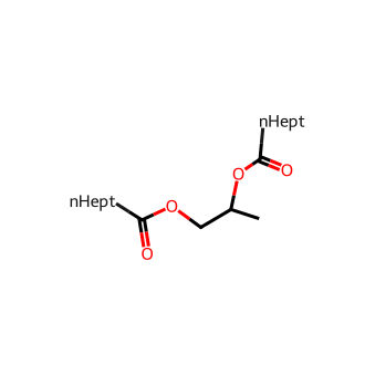 CCCCCCCC(=O)OCC(C)OC(=O)CCCCCCC